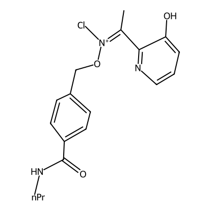 CCCNC(=O)c1ccc(CO[N+](Cl)=C(C)c2ncccc2O)cc1